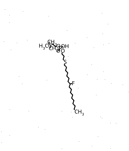 CCCCCCCCCCC(F)CCCCCCCSCCCOP(=O)(O)OCC[N+](C)(C)C